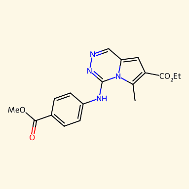 CCOC(=O)c1cc2cnnc(Nc3ccc(C(=O)OC)cc3)n2c1C